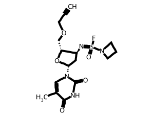 C#CCOC[C@H]1O[C@@H](n2cc(C)c(=O)[nH]c2=O)C[C@@H]1N=S(=O)(F)N1CCC1